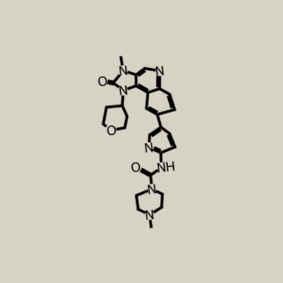 CN1CCN(C(=O)Nc2ccc(-c3ccc4ncc5c(c4c3)n(C3CCOCC3)c(=O)n5C)cn2)CC1